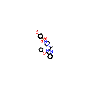 COc1ccc(S(=O)(=O)N2CCN(C(C)c3nc(OC4CCCC4)c4ccccc4n3)CC2)cc1